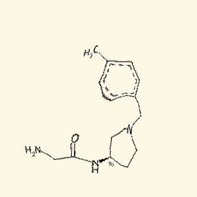 Cc1ccc(CN2CC[C@@H](NC(=O)CN)C2)cc1